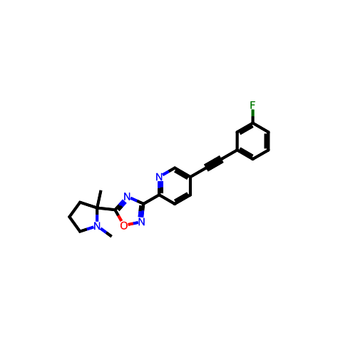 CN1CCCC1(C)c1nc(-c2ccc(C#Cc3cccc(F)c3)cn2)no1